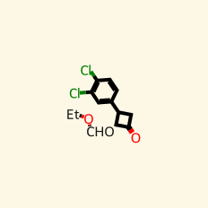 CCOC=O.O=C1CC(c2ccc(Cl)c(Cl)c2)C1